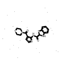 O=C(Nc1sccc1C(=O)N1CCSCC1)C1Nc2ccccc2S1